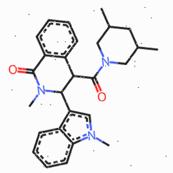 CC1CC(C)CN(C(=O)C2c3ccccc3C(=O)N(C)C2c2cn(C)c3ccccc23)C1